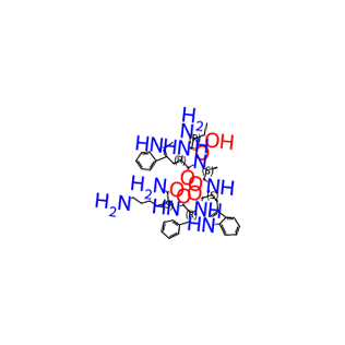 Cc1[nH]c2ccccc2c1C[C@@H](NC(=O)[C@H](N)C(C)O)C(=O)N[C@@H](C)C(=O)N[C@@H](Cc1c[nH]c2ccccc12)C(=O)N[C@H](Cc1ccccc1)C(=O)N[C@@H](CCCCN)C(N)=O